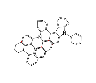 c1ccc(-n2c3ccccc3c3c(-c4ccccc4N(c4ccccc4-c4cccc5cccc(C6CCCCC6)c45)c4cccc5ccccc45)cccc32)cc1